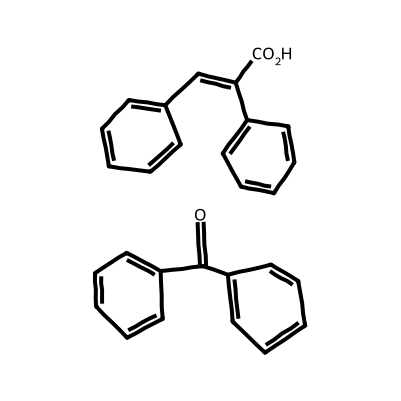 O=C(O)C(=Cc1ccccc1)c1ccccc1.O=C(c1ccccc1)c1ccccc1